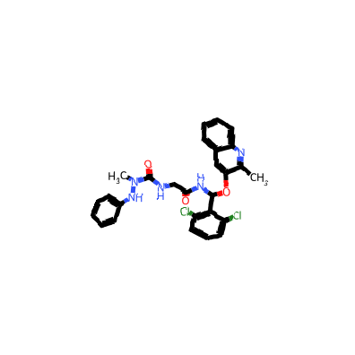 Cc1nc2ccccc2cc1OC(NC(=O)CNC(=O)N(C)Nc1ccccc1)c1c(Cl)cccc1Cl